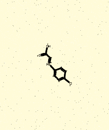 O=C(O)C=[SH]c1ccc(Cl)cc1